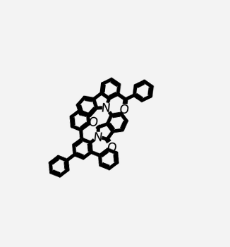 O=C(c1ccccc1)c1cccc2c3ccccc3n(-c3cccc4c3C(=O)N(c3c(-c5ccccc5)cc(-c5ccccc5)cc3-c3ccccc3)C4=O)c12